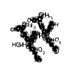 CC1(C)CCC(CN2CCN(c3ccc(C(=O)NS(=O)(=O)c4ccc(N5CC(N6CCOCC6)C5)c([N+](=O)[O-])c4)c(-n4ncc5nc6[nH]ccc6cc54)c3)CC2)=C(c2ccc(Cl)cc2)C1.CC1(C)CCC(CN2CCN(c3ccc(C(=O)NS(=O)(=O)c4ccc(N5CC(N6CCOCC6)C5)c([N+](=O)[O-])c4)c(-n4ncc5nc6[nH]ccc6cc54)c3)CC2)=C(c2ccc(Cl)cc2)C1.Cl